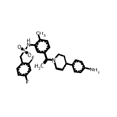 C=C(c1ccc(C)c(NS(=O)(=O)Cc2ccc(F)cc2F)c1)N1CCC(c2ccc(N)cc2)CC1